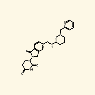 O=C1CCC(N2Cc3cc(CNC4CCCN(Cc5ccccn5)C4)ccc3C2=O)C(=O)N1